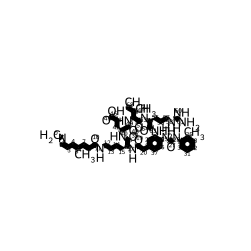 C=N\C=C/C=C(C)/C=C/C(=O)NCCCC[C@H](NC(=O)Cc1ccc(NC(=O)Nc2ccccc2C)cc1)C(=O)N[C@@H](CCC(=O)O)C(=O)N[C@H](C(=O)N[C@@H](CCCNC(=N)N)C(N)=O)C(C)CC